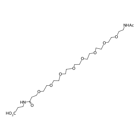 CC(=O)NCCOCCOCCOCCOCCOCCOCCOCCOCCC(=O)NCCC(=O)O